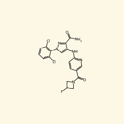 NC(=O)c1nn(-c2c(Cl)cccc2Cl)cc1Nc1ccc(C(=O)N2CC(F)C2)cn1